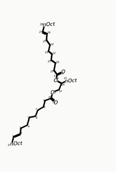 CCCCCCCC/C=C/CCCCCCCC(=O)OCC(CCCCCCCC)OC(=O)CCCCCCC/C=C/CCCCCCCC